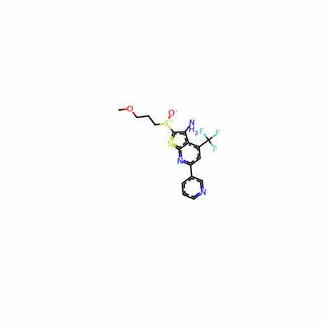 COCCC[S@@+]([O-])c1sc2nc(-c3cccnc3)cc(C(F)(F)F)c2c1N